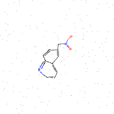 O=[N+]([O-])Cc1ccc2ncccc2c1